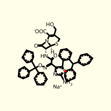 Nc1nc(/C(=N/OC(c2ccccc2)(c2ccccc2)c2ccccc2)C(=O)N[C@@H]2C(=O)N3C(C(=O)[O-])=C(CO)CS[C@@H]23)c(-c2ccccc2C(c2ccccc2)c2ccccc2)s1.[Na+]